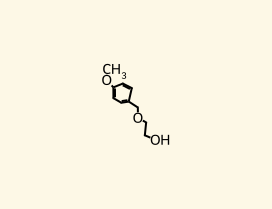 COc1ccc(COCCO)cc1